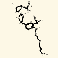 CCCCCCCCOc1ccc(-c2noc([C@@H]3C[C@H](F)CN3C(N)N)n2)cc1C(F)(F)F